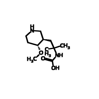 CO[C@@H]1CCNC[C@H]1CC(C)(C)NC(=O)O